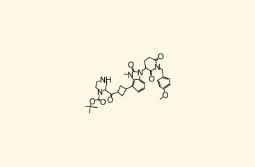 COc1ccc(CN2C(=O)CCC(n3c(=O)n(C)c4c(C5CC(C(=O)C6CNCCN6C(=O)OC(C)(C)C)C5)cccc43)C2=O)cc1